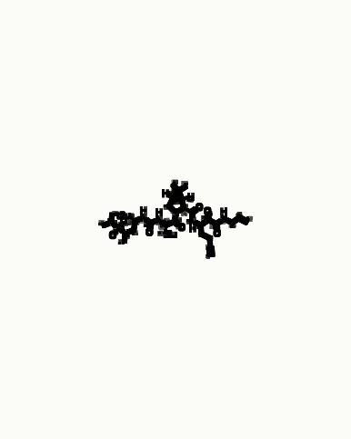 C#CCCC(NC(=O)[C@@H]1[C@@H]2[C@H](CN1C(=O)[C@@H](NC(=O)N[C@H](CN(C)S(=O)(=O)N(C)C)C(C)(C)C)C(C)(C)C)C2(C)C)C(=O)C(=O)NCC=C